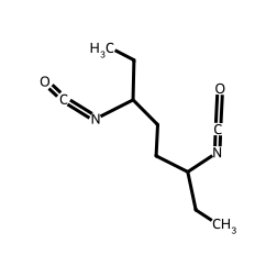 CCC(CCC(CC)N=C=O)N=C=O